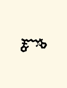 C=C(/C=C/C=C/C=C1\N(C)c2ccccc2C1(C)C)C(C)(C)c1ccccc1C